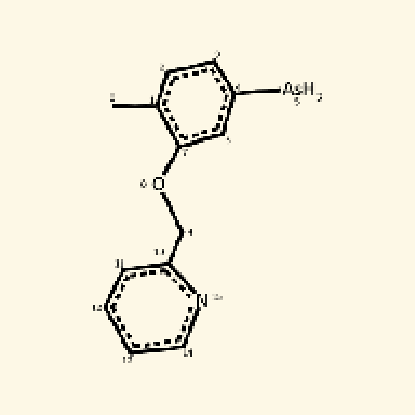 Cc1ccc([AsH2])cc1OCc1ccccn1